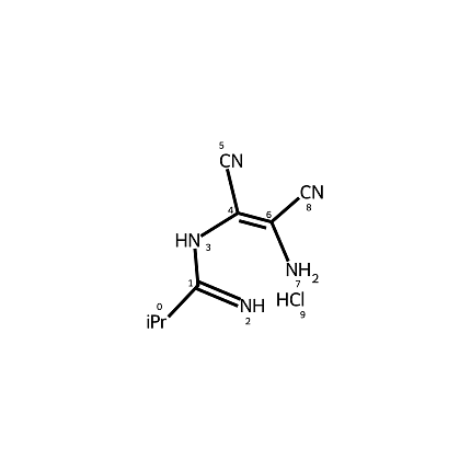 CC(C)C(=N)NC(C#N)=C(N)C#N.Cl